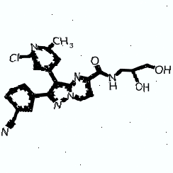 Cc1cc(-c2c(-c3cccc(C#N)c3)nn3ccc(C(=O)NCC(O)CO)nc23)cc(Cl)n1